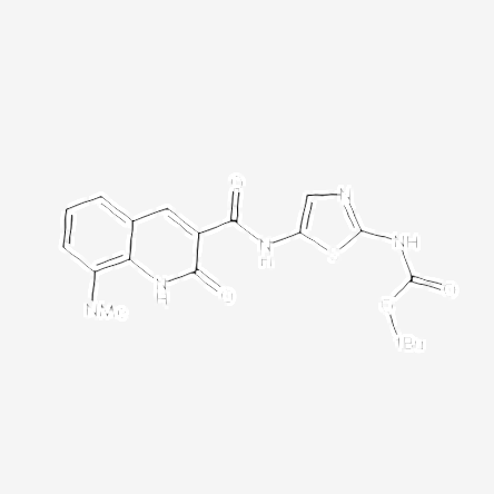 CNc1cccc2cc(C(=O)Nc3cnc(NC(=O)OC(C)(C)C)s3)c(=O)[nH]c12